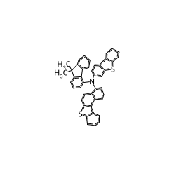 CC1(C)c2ccccc2-c2c(N(c3ccc4c(c3)sc3ccccc34)c3cccc4c3ccc3sc5ccccc5c34)cccc21